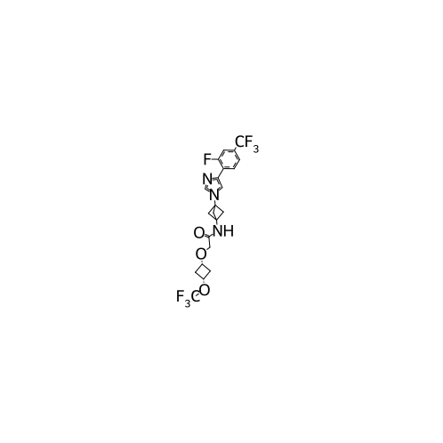 O=C(CO[C@H]1C[C@@H](OC(F)(F)F)C1)NC12CC(n3cnc(-c4ccc(C(F)(F)F)cc4F)c3)(C1)C2